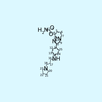 NC(=O)Oc1cccn2cc(-c3ccc(NCCCN4CCCC4)cc3)nc12